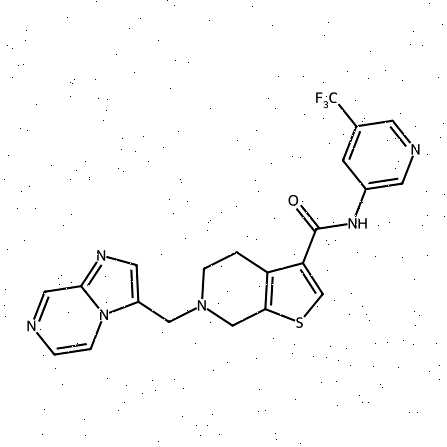 O=C(Nc1cncc(C(F)(F)F)c1)c1csc2c1CCN(Cc1cnc3cnccn13)C2